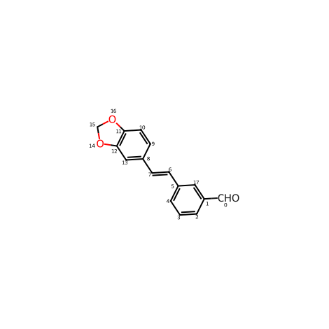 O=Cc1cccc(/C=C/c2ccc3c(c2)OCO3)c1